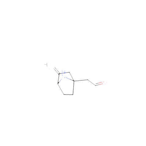 C=C1CC2(CC=O)CCC1N2